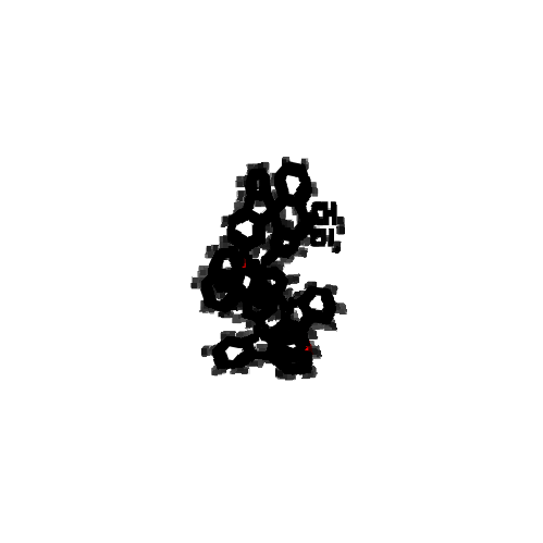 CC1(C)c2ccccc2C2(c3ccccc3-c3ccc(-n4c5ccccc5c5cc(-n6c7ccccc7c7ccccc76)ccc54)cc32)c2cc(-n3c4ccccc4c4cc(-n5c6ccccc6c6ccccc65)ccc43)ccc21